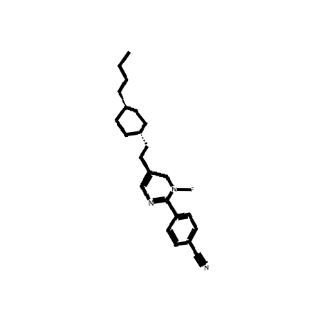 CCCC[C@H]1CC[C@H](CCC2=CN=C(c3ccc(C#N)cc3)N(F)C2)CC1